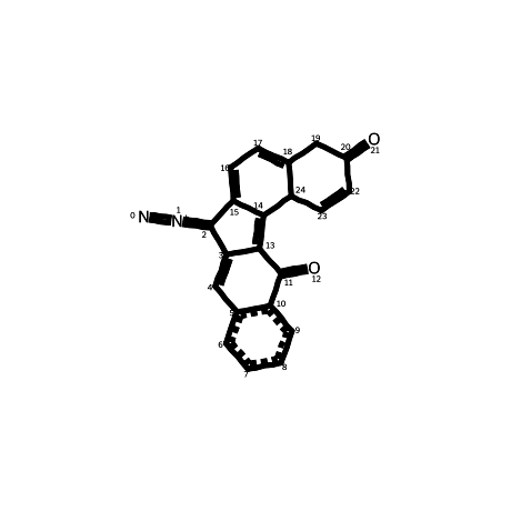 [N-]=[N+]=C1C2=Cc3ccccc3C(=O)C2=C2C1=CC=C1CC(=O)C=CC12